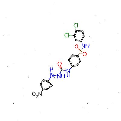 O=C(NNc1ccc([N+](=O)[O-])cc1)Nc1ccc(S(=O)(=O)Nc2ccc(Cl)c(Cl)c2)cc1